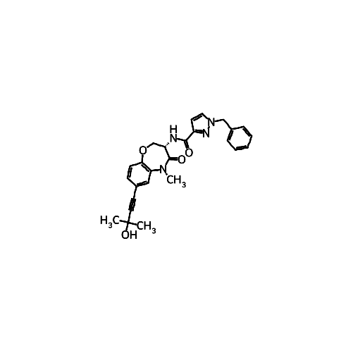 CN1C(=O)[C@@H](NC(=O)c2ccn(Cc3ccccc3)n2)COc2ccc(C#CC(C)(C)O)cc21